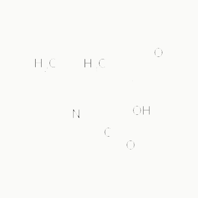 C=CN=C=O.CC(=O)O